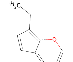 [CH2]Cc1ccc2cccoc1-2